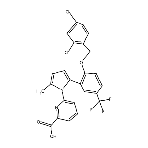 Cc1ccc(-c2cc(C(F)(F)F)ccc2OCc2ccc(Cl)cc2Cl)n1-c1cccc(C(=O)O)n1